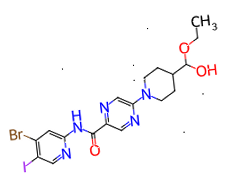 CCOC(O)C1CCN(c2cnc(C(=O)Nc3cc(Br)c(I)cn3)cn2)CC1